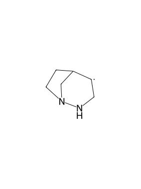 [CH]1CNN2CCC1C2